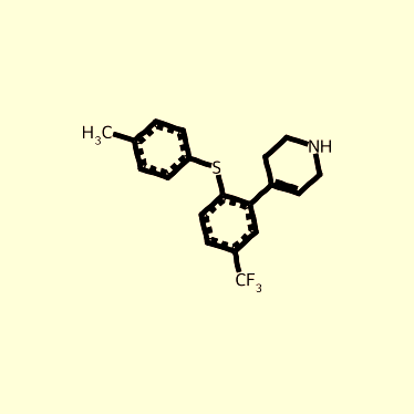 Cc1ccc(Sc2ccc(C(F)(F)F)cc2C2=CCNCC2)cc1